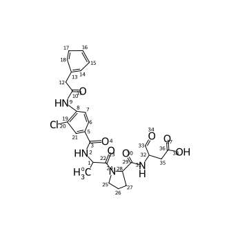 CC(NC(=O)c1ccc(NC(=O)Cc2ccccc2)c(Cl)c1)C(=O)N1CCCC1C(=O)NC(C=O)CC(=O)O